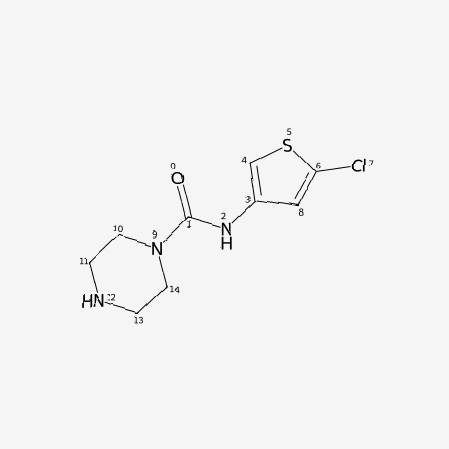 O=C(Nc1csc(Cl)c1)N1CCNCC1